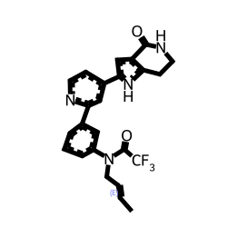 C/C=C/CN(C(=O)C(F)(F)F)c1cccc(-c2cc(-c3cc4c([nH]3)CCNC4=O)ccn2)c1